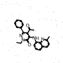 CCn1nc(-c2ccccc2)c(C(C)=O)c(Nc2cccc3ccc(C)nc23)c1=O